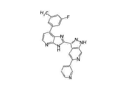 Cc1cc(F)cc(-c2ccnc3[nH]c(-c4n[nH]c5cnc(-c6cccnc6)cc45)nc23)c1